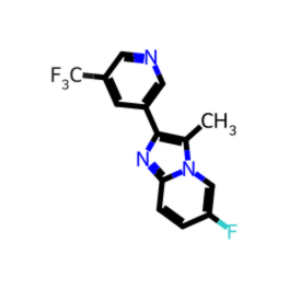 Cc1c(-c2cncc(C(F)(F)F)c2)nc2ccc(F)cn12